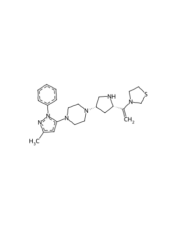 C=C([C@@H]1C[C@H](N2CCN(c3cc(C)nn3-c3ccccc3)CC2)CN1)N1CCSC1